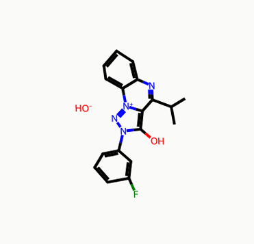 CC(C)c1nc2ccccc2[n+]2nn(-c3cccc(F)c3)c(O)c12.[OH-]